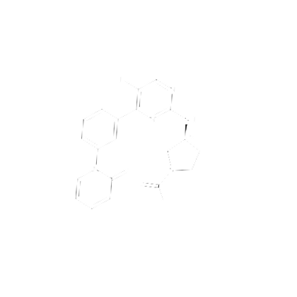 CC(=O)N1CC[C@H](Nc2ncc(F)c(-c3cccc(-n4ccccc4=O)c3)n2)C1